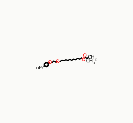 C=C(C)C(=O)OCCCCCCCCCCCCOCCCOc1ccc(CCC)cc1